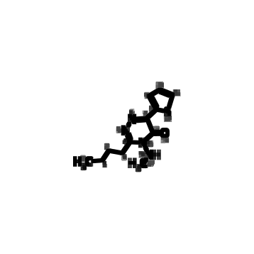 CCCCc1nnc(-c2cccs2)c(=O)n1NC